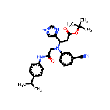 CC(C)c1ccc(NC(=O)CN(c2cccc(C#N)c2)C(CC(=O)OC(C)(C)C)c2c[nH]cn2)cc1